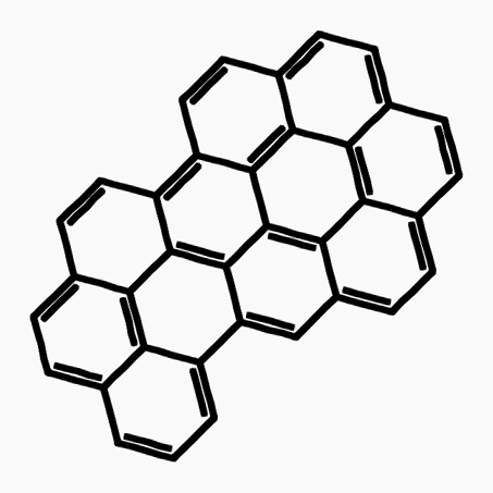 c1cc2ccc3ccc4c5ccc6ccc7ccc8ccc9cc%10c(c1)c2c3c4c%10c1c9c8c7c6c51